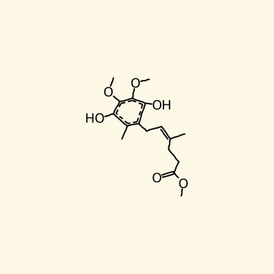 COC(=O)CCC(C)=CCc1c(C)c(O)c(OC)c(OC)c1O